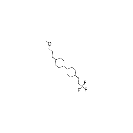 COCCC[C@H]1CC[C@H]([C@H]2CC[C@H](CCC(F)(F)F)CC2)CC1